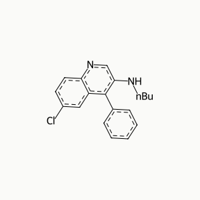 CCCCNc1cnc2ccc(Cl)cc2c1-c1ccccc1